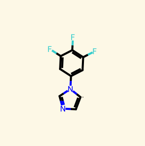 Fc1cc(-n2[c]cnc2)cc(F)c1F